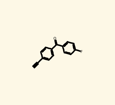 C#Cc1ccc(C(=O)c2ccc(F)cc2)cc1